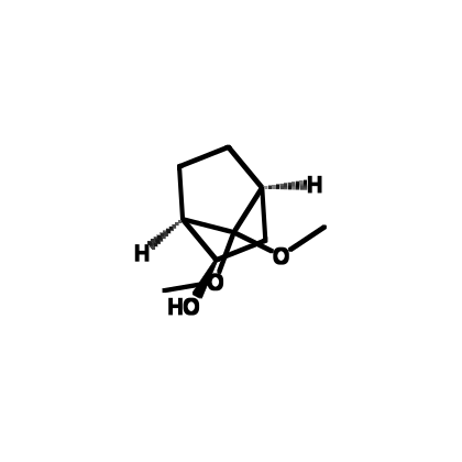 COC1(OC)[C@H]2CC[C@@H]1[C@H](O)C2